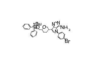 CC(C)(C)[Si](OCC1CCC(c2cn(-c3ccc(Br)cc3)c3c(N)ncnc23)CO1)(c1ccccc1)c1ccccc1